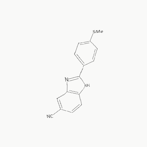 CSc1ccc(-c2nc3cc(C#N)ccc3[nH]2)cc1